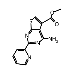 COC(=O)c1csc2nc(-c3ccccn3)nc(N)c12